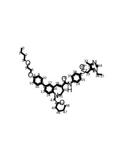 CCCCOCCOc1ccc(-c2ccc3c(c2)C=C(C(=O)Nc2ccc([S@+]([O-])Cc4c(C)ncn4CC)cc2)CCN3C[C@@H]2CCCCO2)cc1